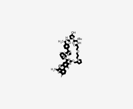 Cc1ncsc1-c1ccc([C@H](C)NC(=O)[C@@H]2C[C@@H](O)CN2C(=O)[C@@H](NC(=O)CCOCCCN2CCCC2COc2nc(N3CC4CCC(C3)N4)c3cc(Cl)c(-c4ccc(F)c5sc(N)c(C#N)c45)c(F)c3n2)C(C)(C)C)cc1